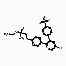 CCOC(C)(C)CCc1ccc(-c2ncc(Cl)cc2-c2ccc(S(C)(=O)=O)cc2)cn1